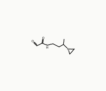 CC(CCNC(=O)C=O)N1CC1